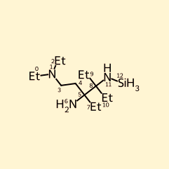 CCN(CC)CCC(N)(CC)C(CC)(CC)N[SiH3]